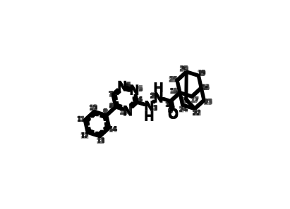 O=C(NNc1nncc(-c2ccccc2)n1)C12CC3CC(CC(C3)C1)C2